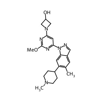 COc1nc(N2CC(O)C2)cc(-n2ncc3cc(C)c(C4CCN(C)CC4)cc32)n1